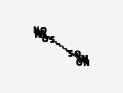 O=C(CCSCCCCCCCCCCSCCC(=O)CNC(=O)c1cnccn1)CNC(=O)c1cnccn1